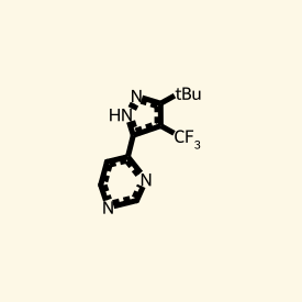 CC(C)(C)c1n[nH]c(-c2ccncn2)c1C(F)(F)F